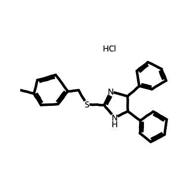 Cc1ccc(CSC2=NC(c3ccccc3)C(c3ccccc3)N2)cc1.Cl